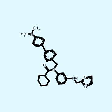 CN(C)c1ccc(-c2ccc(CN(C(=O)C3CCCCC3)c3cccc(NCc4ncco4)c3)cc2)cc1